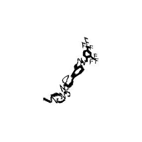 CCN1CCN(C2=NC(=O)C(=Cc3ccc4c(cnn4Cc4ccc(C(F)(F)F)cc4C(F)(F)F)c3)S2)CC1